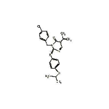 CC(C)Oc1ccc(/N=c2\ncn(C(C)C)c(=O)n2Cc2ccc(Cl)cc2)cc1